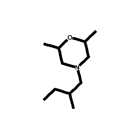 CCC(C)CN1CC(C)OC(C)C1